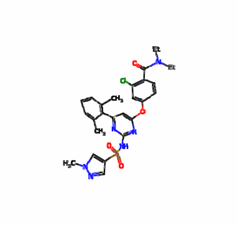 CCN(CC)C(=O)c1ccc(Oc2cc(-c3c(C)cccc3C)nc(NS(=O)(=O)c3cnn(C)c3)n2)cc1Cl